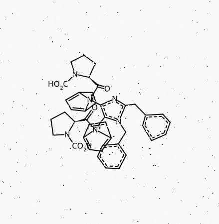 O=C(O)N1CCC[C@H]1C(=O)[N+]1(c2nc(Cc3ccccc3)n(Cc3ccccc3)c2[N+]2(C(=O)[C@@H]3CCCN3C(=O)O)C3=CC=C2C=C3)C2=CC=C1C=C2